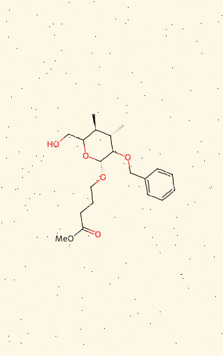 COC(=O)CCCO[C@@H]1OC(CO)[C@@H](C)[C@H](C)C1OCc1ccccc1